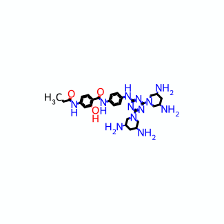 CCC(=O)Nc1ccc(C(=O)Nc2ccc(Nc3nc(N4C[C@H](N)C[C@H](N)C4)nc(N4C[C@H](N)C[C@H](N)C4)n3)cc2)c(O)c1